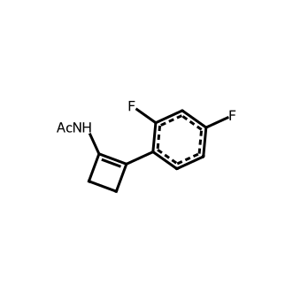 CC(=O)NC1=C(c2ccc(F)cc2F)CC1